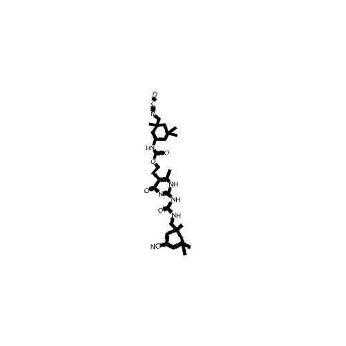 Cc1[nH]c(NC(=O)NCC2(C)CC(C#N)CC(C)(C)C2)nc(=O)c1CCOC(=O)NC1CC(C)(C)CC(C)(CN=C=O)C1